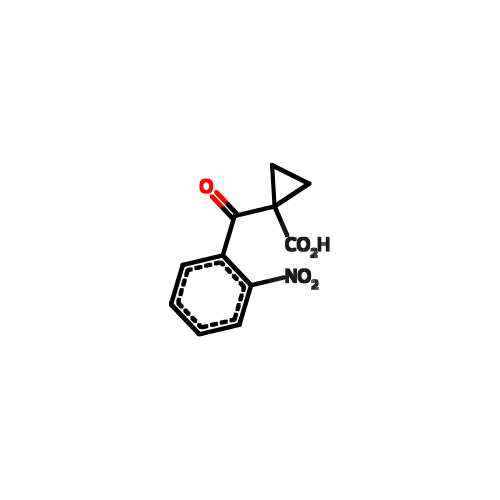 O=C(O)C1(C(=O)c2ccccc2[N+](=O)[O-])CC1